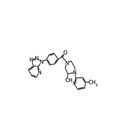 Cc1cccc(N2CCN(C(=O)c3ccc(-n4nnc5cccnc54)cc3)CC2C)c1